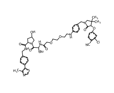 Cc1ncsc1-c1ccc(CNC(=O)C2CC(O)CN2C(=O)C(NC(=O)COCCOCCNc2ccc(CN3CC(C)(C)C(Oc4ccc(C#N)c(Cl)c4)C3=O)cc2)C(C)(C)C)cc1